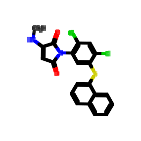 O=C(O)NC1=CC(=O)N(c2cc(Sc3cccc4ccccc34)c(Cl)cc2Cl)C1=O